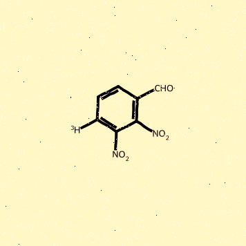 [3H]c1ccc([C]=O)c([N+](=O)[O-])c1[N+](=O)[O-]